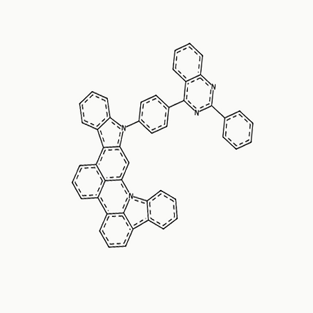 c1ccc(-c2nc(-c3ccc(-n4c5ccccc5c5c6cccc7c8cccc9c%10ccccc%10n(c(cc54)c76)c89)cc3)c3ccccc3n2)cc1